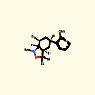 CC[C@H]1C[C@@](CC)(c2ccccc2OC)C[C@@H]2[C@@H]1N(CC)OC2(CC)CC